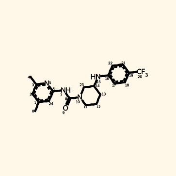 Cc1cc(C)nc(NC(=O)N2CCCC(Nc3ccc(C(F)(F)F)cc3)C2)c1